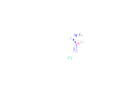 COC1c2nc(NCCN(C)C)ccc2C=C(c2ccc(NC(=O)Cc3ccc(Cl)c(C(F)(F)F)c3)cc2Cl)[NH+]1[O-]